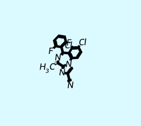 C[C@@H]1N=C(c2c(F)cccc2F)c2c(ccc(Cl)c2Cl)-n2cc(C#N)nc21